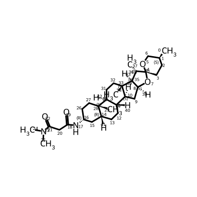 C[C@H]1CC[C@@]2(OC1)O[C@H]1C[C@H]3[C@@H]4CC[C@@H]5C[C@H](NC(=O)CC(=O)N(C)C)CC[C@]5(C)[C@H]4CC[C@]3(C)[C@H]1[C@@H]2C